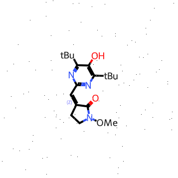 CON1CC/C(=C/c2nc(C(C)(C)C)c(O)c(C(C)(C)C)n2)C1=O